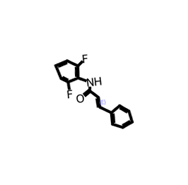 O=C(/C=C/c1ccccc1)Nc1c(F)cccc1F